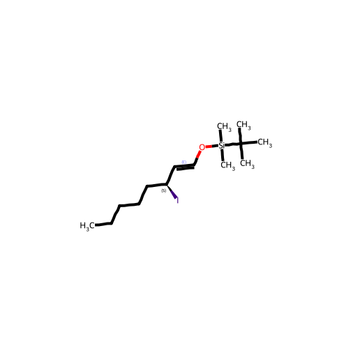 CCCCC[C@H](I)/C=C/O[Si](C)(C)C(C)(C)C